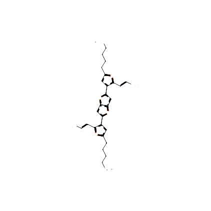 C/C=C/c1sc(CCCCCCCCCCCCCC)cc1-c1cc2sc(-c3cc(CCCCCCCCCCCCCC)sc3/C=C/OC)cc2s1